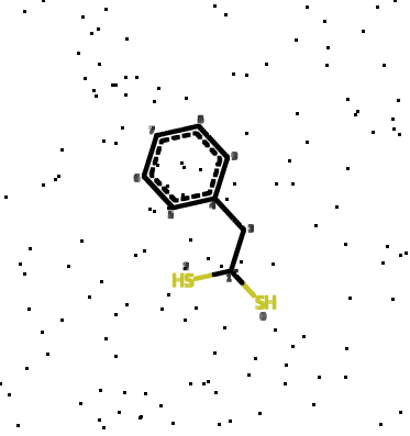 S[C](S)Cc1ccccc1